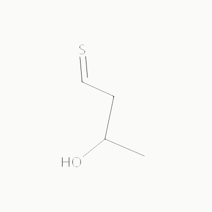 [CH2]C(O)C[C]=S